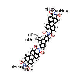 CCCCCCCCCCCCC1(CCCCCCCCCCCC)c2cc(N3C(=O)c4ccc5c6ccc7c8c(ccc(c9ccc(c4c59)C3=O)c86)C(=O)N(C(CCCCCC)CCCCCC)C7=O)ccc2-c2ccc(N3C(=O)c4ccc5c6ccc7c8c(ccc(c9ccc(c4c59)C3=O)c86)C(=O)N(C(CCCCCC)CCCCCC)C7=O)cc21